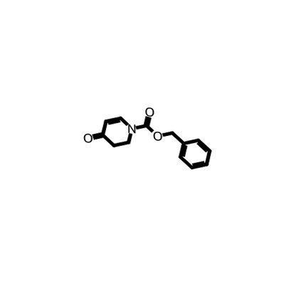 O=C1C=CN(C(=O)OCc2ccccc2)CC1